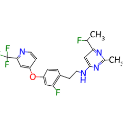 Cc1nc(NCCc2ccc(Oc3ccnc(C(F)(F)F)c3)cc2F)cc(C(C)F)n1